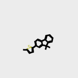 Cc1ccc(-c2ccc3c(c2)C(C)(C)c2ccccc2-3)s1